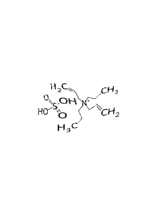 C=CC[N+](CC=C)(CCC)CCC.O=S(=O)(O)O